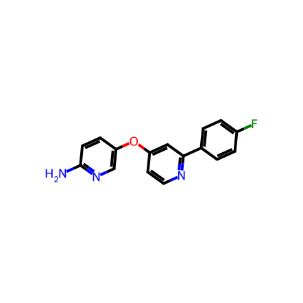 Nc1ccc(Oc2ccnc(-c3ccc(F)cc3)c2)cn1